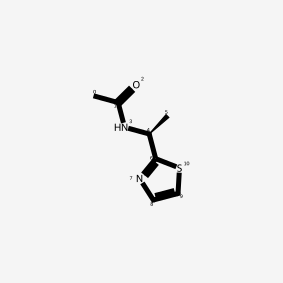 CC(=O)N[C@@H](C)c1nccs1